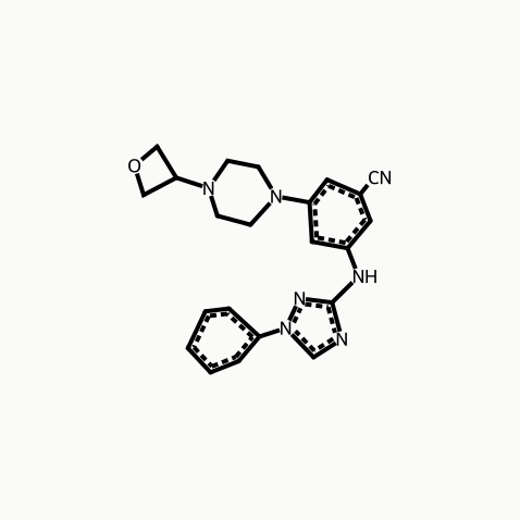 N#Cc1cc(Nc2ncn(-c3ccccc3)n2)cc(N2CCN(C3COC3)CC2)c1